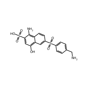 NCc1ccc(S(=O)(=O)c2ccc3c(N)c(S(=O)(=O)O)cc(O)c3c2)cc1